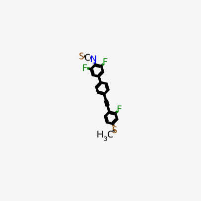 CSc1ccc(C#Cc2ccc(-c3cc(F)c(N=C=S)c(F)c3)cc2)c(F)c1